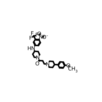 COc1ccc(C2CCN(CCC(=O)N3CCC(Nc4ccc([N+](=O)[O-])c(C(F)(F)F)c4)CC3)CC2)cc1